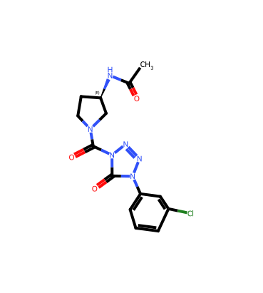 CC(=O)N[C@@H]1CCN(C(=O)n2nnn(-c3cccc(Cl)c3)c2=O)C1